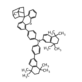 CC1(C)CCC(C)(C)c2cc(-c3ccc(N(c4ccc(-c5cccc6c5Sc5ccccc5C65C6CC7CC8CC5C86C7)cc4)c4ccc5c(c4)C(C)(C)CCC5(C)C)cc3)ccc21